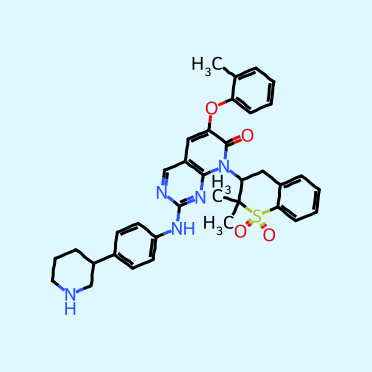 Cc1ccccc1Oc1cc2cnc(Nc3ccc(C4CCCNC4)cc3)nc2n(C2Cc3ccccc3S(=O)(=O)C2(C)C)c1=O